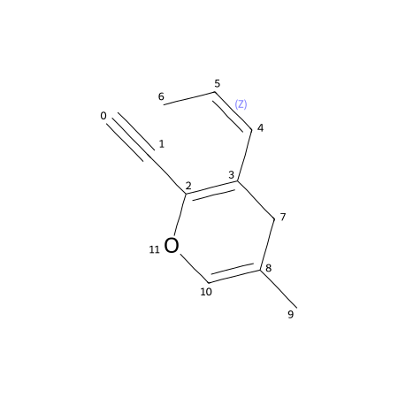 C#CC1=C(/C=C\C)CC(C)=CO1